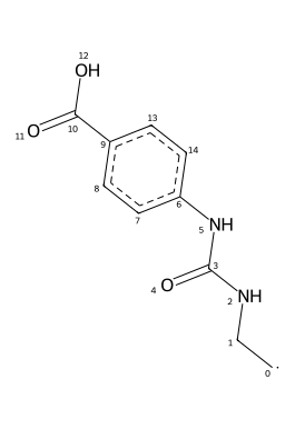 [CH2]CNC(=O)Nc1ccc(C(=O)O)cc1